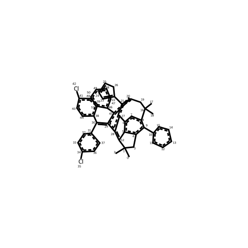 CC1(C)Cc2c3c4[c]c(c2-c2ccccc2)C(C)(C)Cc2c(C5=CC=CC5)c-4c(c(=C(c4ccc(Cl)cc4)c4ccc(Cl)cc4)c2-c2ccccc2)=C31